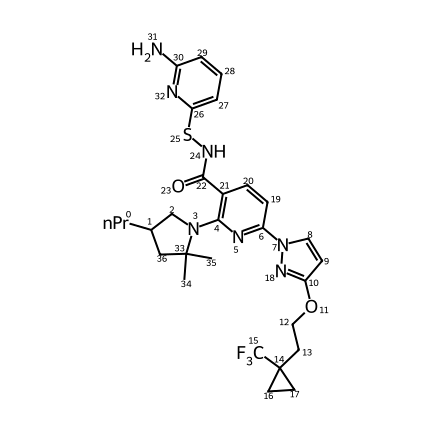 CCCC1CN(c2nc(-n3ccc(OCCC4(C(F)(F)F)CC4)n3)ccc2C(=O)NSc2cccc(N)n2)C(C)(C)C1